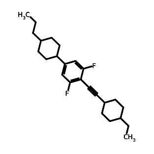 CCCC1CCC(c2cc(F)c(C#CC3CCC(CC)CC3)c(F)c2)CC1